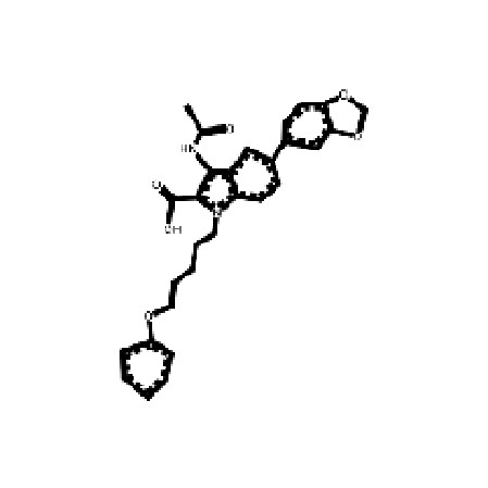 CC(=O)Nc1c(C(=O)O)n(CCCCCOc2ccccc2)c2ccc(-c3ccc4c(c3)OCO4)cc12